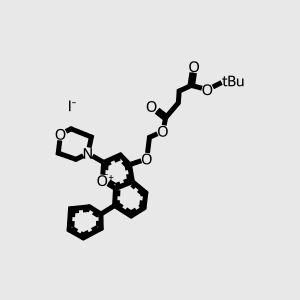 CC(C)(C)OC(=O)CCC(=O)OCOc1cc(N2CCOCC2)[o+]c2c(-c3ccccc3)cccc12.[I-]